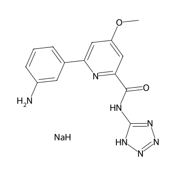 COc1cc(C(=O)Nc2nnn[nH]2)nc(-c2cccc(N)c2)c1.[NaH]